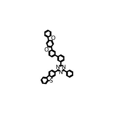 c1ccc(-c2nc(-c3cccc(-c4ccc5oc6cc7c(cc6c5c4)oc4ccccc47)c3)nc(-c3ccc4c(c3)sc3ccccc34)n2)cc1